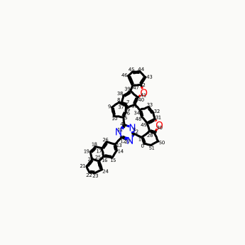 C1=C(c2nc(-c3ccccc3)nc(-c3ccc4c(ccc5ccccc54)c3)n2)c2c(oc3ccc(-c4cccc5c4oc4ccccc45)cc23)CC1